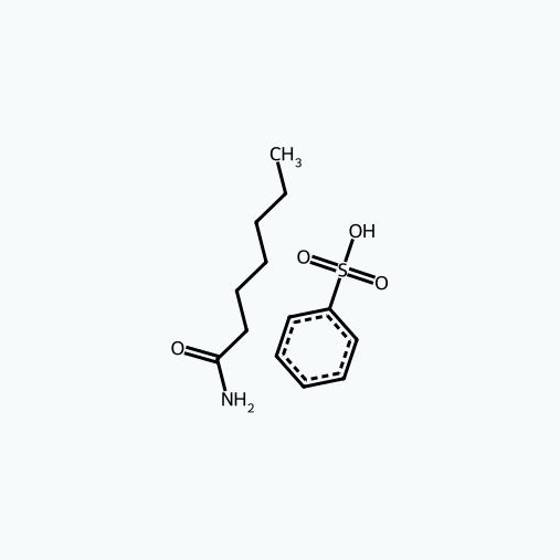 CCCCCCC(N)=O.O=S(=O)(O)c1ccccc1